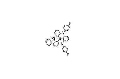 C[Si]1(c2ccccc2)c2cccc3c2B2c4c(cccc4N(c4ccc(F)cc4)c4cccc1c42)N3c1ccc(F)cc1